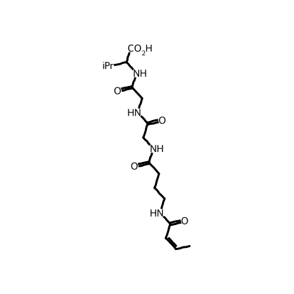 C/C=C\C(=O)NCCCC(=O)NCC(=O)NCC(=O)NC(C(=O)O)C(C)C